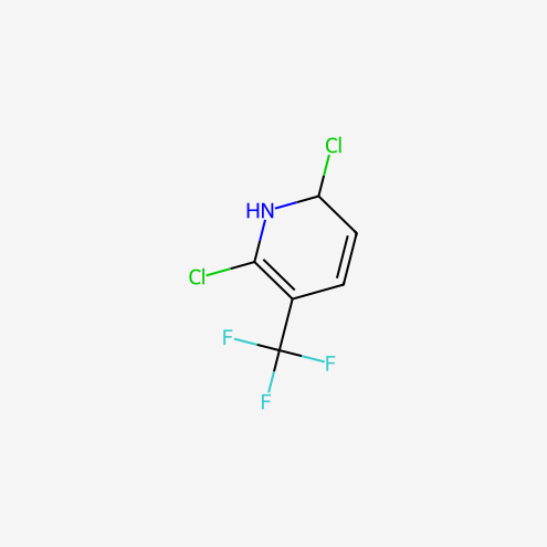 FC(F)(F)C1=C(Cl)NC(Cl)C=C1